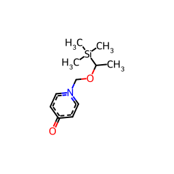 CC(OCn1ccc(=O)cc1)[Si](C)(C)C